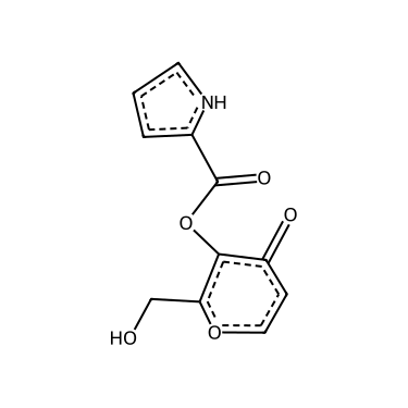 O=C(Oc1c(CO)occc1=O)c1ccc[nH]1